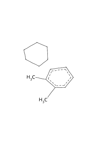 C1CCCCC1.Cc1ccccc1C